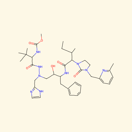 CCC(C)C(C(=O)NC(Cc1ccccc1)C(O)CN(Cc1ncc[nH]1)NC(=O)C(NC(=O)OC)C(C)(C)C)N1CCN(Cc2cccc(C)n2)C1=O